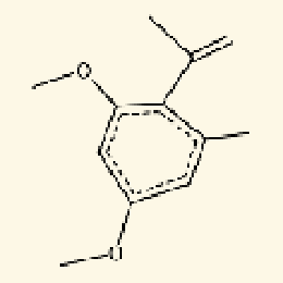 C=C(C)c1c(C)cc(OC)cc1OC